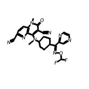 CN(c1c(C#N)c(=O)n(C)c2ccc(C#N)nc12)C1CCC(/C(=N/OC(F)F)c2cnccn2)CC1